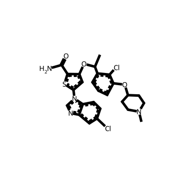 CC(Oc1cc(-n2cnc3cc(Cl)ccc32)sc1C(N)=O)c1cccc(OC2CCN(C)CC2)c1Cl